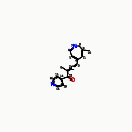 CC(=C=CC1=CC=NCC(C)=C1)C(=O)c1ccncc1